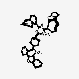 C1=Cc2c(sc3c2C=CCC3C2N=C(c3cccc4ccccc34)N=C(C3=CC=C(C4=c5ccccc5=C5Oc6ccccc6C5N4)CC3)N2)C1